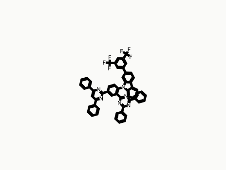 FC(F)(F)c1cc(-c2ccc3c4ccccc4n(-c4ccc(-c5nc(-c6ccccc6)cc(-c6ccccc6)n5)cc4-c4nc(-c5ccccc5)nc(-c5ccccc5)n4)c3c2)cc(C(F)(F)F)c1